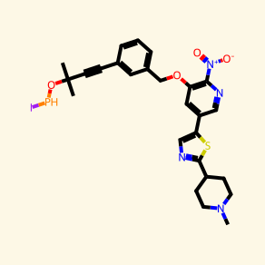 CN1CCC(c2ncc(-c3cnc([N+](=O)[O-])c(OCc4cccc(C#CC(C)(C)OPI)c4)c3)s2)CC1